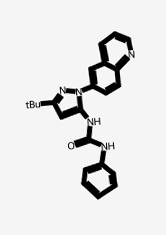 CC(C)(C)c1cc(NC(=O)Nc2ccccc2)n(-c2ccc3ncccc3c2)n1